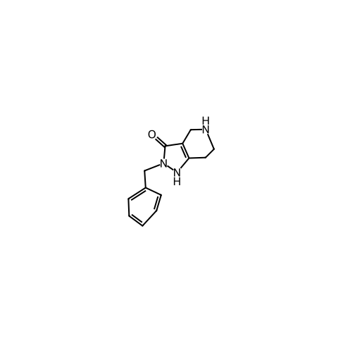 O=c1c2c([nH]n1Cc1ccccc1)CCNC2